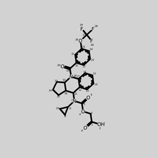 O=C(O)COC(=O)N(C1CC1)C1c2ccccc2N(C(=O)c2cccc(OC(F)(F)F)c2)C2CCCC21